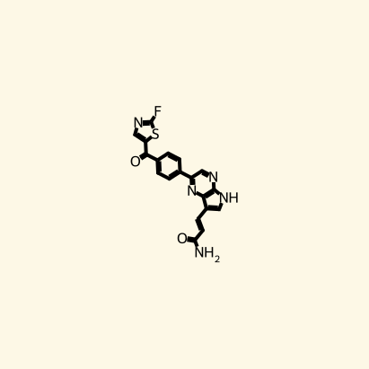 NC(=O)/C=C/c1c[nH]c2ncc(-c3ccc(C(=O)c4cnc(F)s4)cc3)nc12